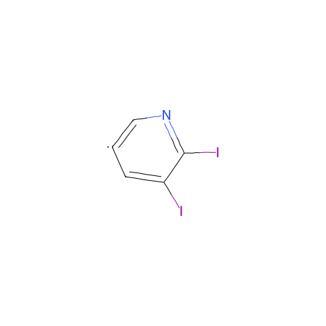 Ic1c[c]cnc1I